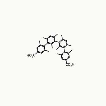 Cc1cc(C(=O)O)cc(C)c1-c1c(C)cc(C)c(-c2c(C)cc(C)c(-c3c(C)cc(C(=O)O)cc3C)c2C)c1C